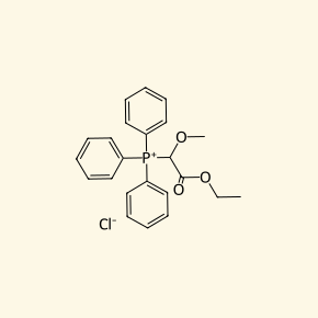 CCOC(=O)C(OC)[P+](c1ccccc1)(c1ccccc1)c1ccccc1.[Cl-]